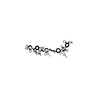 C[C@@H]1CN(CCCO[C@H]2CC[C@H](N3C(=S)N(c4ccc(C#N)c(Cl)c4)C(=O)C3(C)C)CC2)C[C@H](C)N1CC(=O)Nc1cccc2c(N3CCC(=O)NC3=O)nn(C)c12